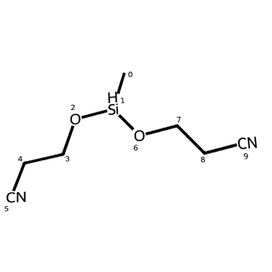 C[SiH](OCCC#N)OCCC#N